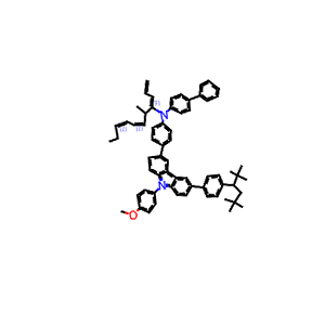 C=C/C=C(\C(C)/C=C\C=C/CC)N(c1ccc(-c2ccccc2)cc1)c1ccc(-c2ccc3c(c2)c2cc(-c4ccc(C(CC(C)(C)C)C(C)(C)C)cc4)ccc2n3-c2ccc(OC)cc2)cc1